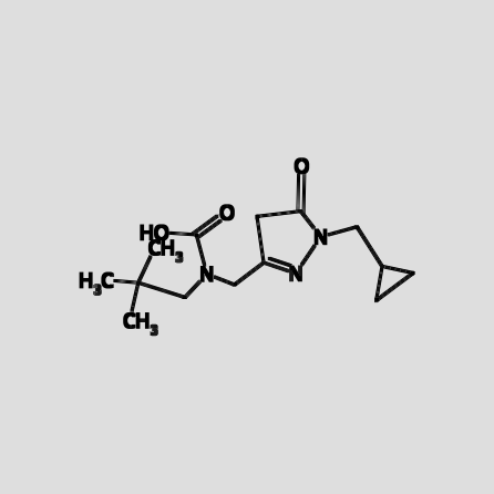 CC(C)(C)CN(CC1=NN(CC2CC2)C(=O)C1)C(=O)O